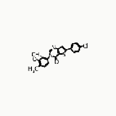 COc1cc(-n2cnc3cc(-c4ccc(Cl)cc4)sc3c2=O)ccc1C